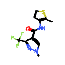 Cc1sccc1NC(=O)c1cn(C)nc1C(F)(F)F